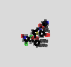 COc1ccc([C@H](Cc2c(Cl)c[n+]([O-])cc2Cl)OC(=O)c2ccc(CN(C(=O)O[C@H]3CN4CCC3CC4)c3cccc(O)c3C)s2)cc1OC